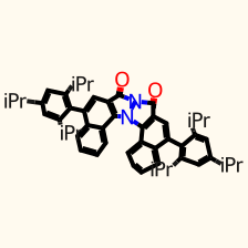 CC(C)c1cc(C(C)C)c(-c2cc3c(=O)n4c(=O)c5cc(-c6c(C(C)C)cc(C(C)C)cc6C(C)C)c6ccccc6c5n4c3c3ccccc23)c(C(C)C)c1